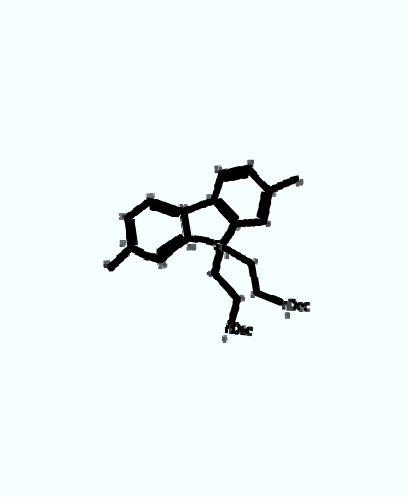 CCCCCCCCCCCC[Si]1(CCCCCCCCCCCC)c2cc(C)ccc2-c2ccc(C)cc21